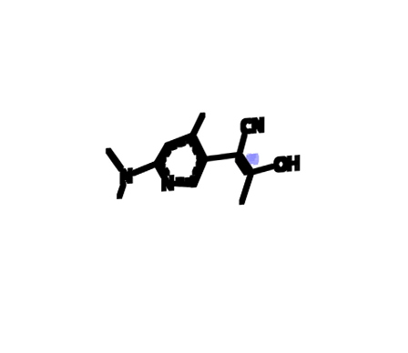 C/C(O)=C(/C#N)c1cnc(N(C)C)cc1C